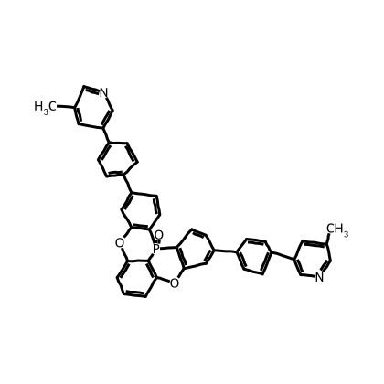 Cc1cncc(-c2ccc(-c3ccc4c(c3)Oc3cccc5c3P4(=O)c3ccc(-c4ccc(-c6cncc(C)c6)cc4)cc3O5)cc2)c1